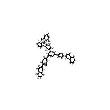 c1ccc(-c2nc3ccccc3n2-c2ccc(-c3cc(-c4ccc(-c5ccc6ccccc6c5)nc4)nc(-c4ccc(-c5ccc6ccccc6c5)cc4)n3)cc2)cc1